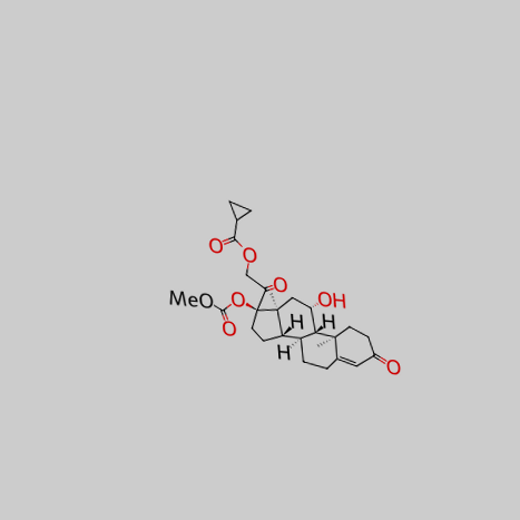 COC(=O)O[C@]1(C(=O)COC(=O)C2CC2)CC[C@H]2[C@@H]3CCC4=CC(=O)CC[C@]4(C)[C@H]3[C@@H](O)C[C@@]21C